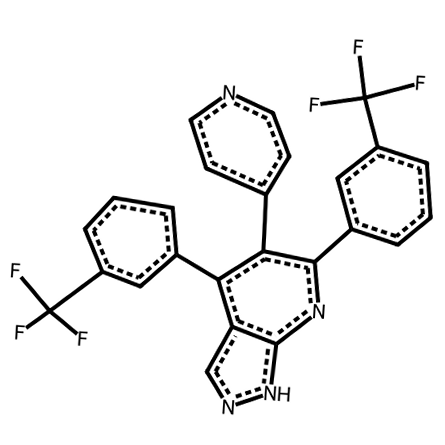 FC(F)(F)c1cccc(-c2nc3[nH]ncc3c(-c3cccc(C(F)(F)F)c3)c2-c2ccncc2)c1